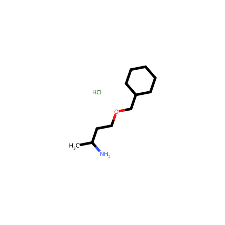 CC(N)CCOCC1CCCCC1.Cl